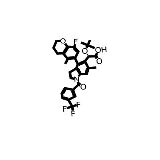 Cc1cc2c(c(-c3cc(F)c4c(c3C)CCCO4)c1[C@H](OC(C)(C)C)C(=O)O)CCN2C(=O)c1cccc(C(F)(F)F)c1